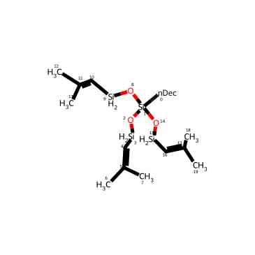 CCCCCCCCCC[Si](O[SiH2]C=C(C)C)(O[SiH2]C=C(C)C)O[SiH2]C=C(C)C